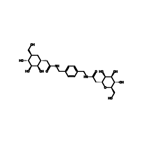 O=C(C[C@H]1C[C@H](CO)[C@@H](O)[C@H](O)[C@@H]1O)NCc1ccc(CNC(=O)C[C@H]2O[C@H](CO)[C@@H](O)[C@H](O)[C@@H]2O)cc1